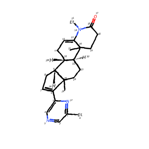 CCc1cncc(C2=CC[C@@H]3[C@@H]4CC=C5N(CC)C(=O)CCC5(C)[C@H]4CCC23C)n1